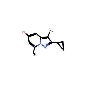 Cc1cc(Br)cc2c(N=O)c(C3CC3)nn12